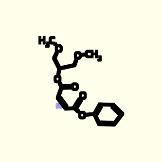 COCC(COC)OC(=O)/C=C\C(=O)Oc1ccccc1